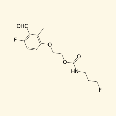 Cc1c(OCCOC(=O)NCCCF)ccc(F)c1C=O